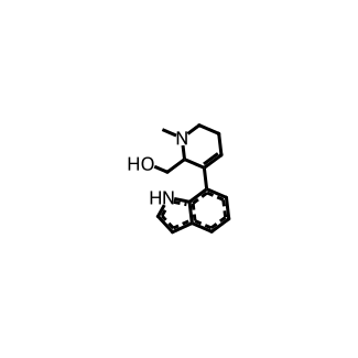 CN1CCC=C(c2cccc3cc[nH]c23)C1CO